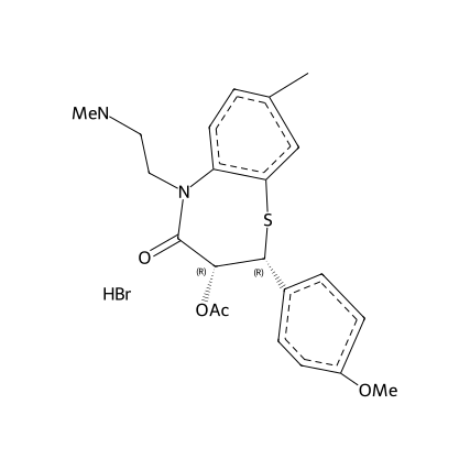 Br.CNCCN1C(=O)[C@@H](OC(C)=O)[C@@H](c2ccc(OC)cc2)Sc2cc(C)ccc21